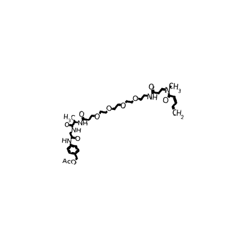 C=C/C=C\C(=O)N(C)CCC(=O)NCCOCCOCCOCCOCCC(=O)NC(C)C(=O)NCC(=O)Nc1ccc(COC(C)=O)cc1